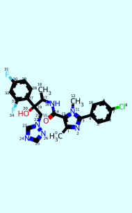 Cc1nc(-c2ccc(Cl)cc2)n(C)c1C(=O)NC(C)C(O)(Cn1cncn1)c1ccc(F)cc1F